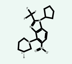 [CH2][C@@H]1CCCN(c2c([N+](=O)[O-])ccc3c2nc(C(F)(F)F)n3C2CCCC2)C1